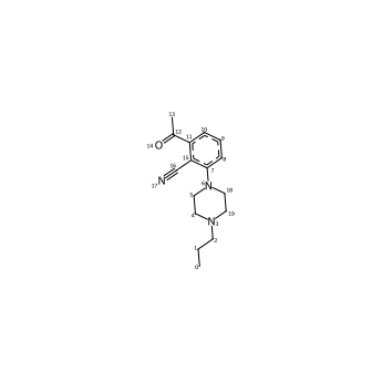 CCCN1CCN(c2cccc(C(C)=O)c2C#N)CC1